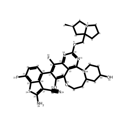 C[C@H]1CN2CCCC2(COc2nc3c4c(c(Cl)c(-c5ccc(F)c6sc(N)c(C#N)c56)c(F)c4n2)OCCC2CC(O)CCN32)C1